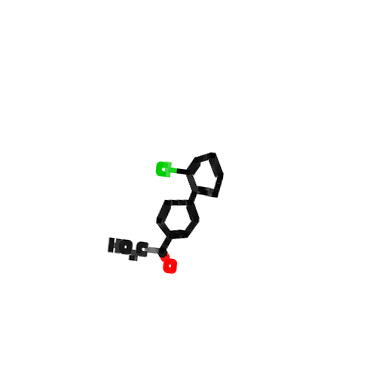 O=C(O)C(=O)c1ccc(-c2ccccc2Cl)cc1